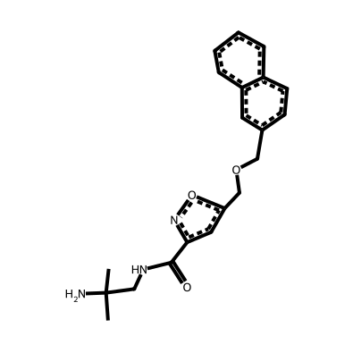 CC(C)(N)CNC(=O)c1cc(COCc2ccc3ccccc3c2)on1